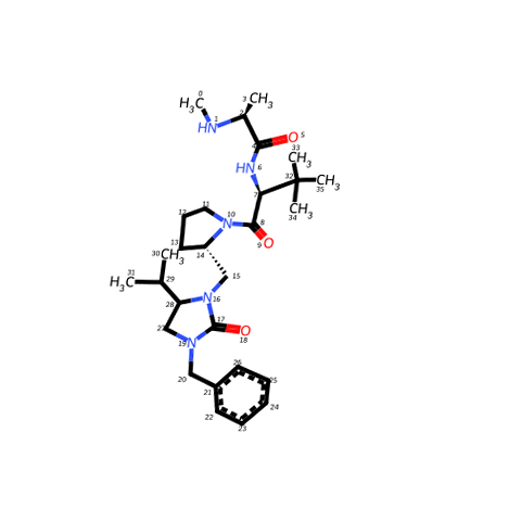 CN[C@@H](C)C(=O)N[C@H](C(=O)N1CCC[C@H]1CN1C(=O)N(Cc2ccccc2)CC1C(C)C)C(C)(C)C